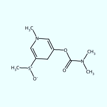 CN1C=C(OC(=O)N(C)C)CC([S+](C)[O-])=C1